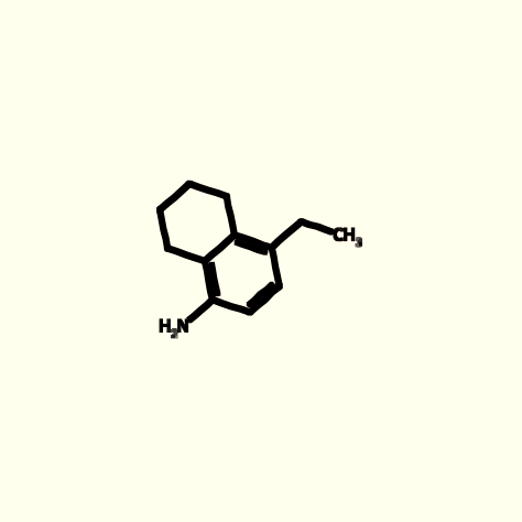 CCc1ccc(N)c2c1CCCC2